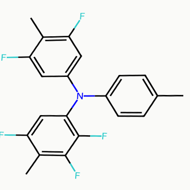 Cc1ccc(N(c2cc(F)c(C)c(F)c2)c2cc(F)c(C)c(F)c2F)cc1